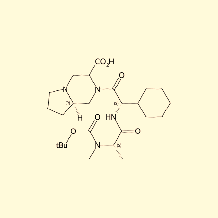 C[C@@H](C(=O)N[C@H](C(=O)N1C[C@H]2CCCN2CC1C(=O)O)C1CCCCC1)N(C)C(=O)OC(C)(C)C